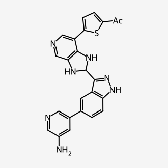 CC(=O)c1ccc(-c2cncc3c2NC(c2n[nH]c4ccc(-c5cncc(N)c5)cc24)N3)s1